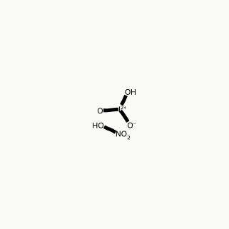 O=[N+]([O-])O.[O-][I+2]([O-])O